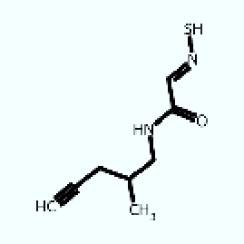 C#CCC(C)CNC(=O)/C=N/S